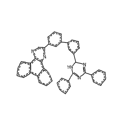 c1ccc(C2=NC(c3cccc(-c4cccc(-c5cnc6c7ccccc7c7ccccc7c6n5)c4)c3)NC(c3ccccc3)=N2)cc1